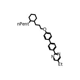 CCCCCC1CCCCC1CCCOc1ccc(-c2ccc(-c3ncc(CC)cn3)cc2)cc1